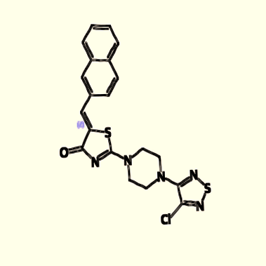 O=C1N=C(N2CCN(c3nsnc3Cl)CC2)S/C1=C\c1ccc2ccccc2c1